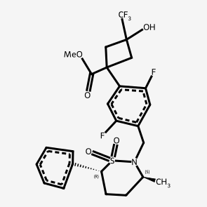 COC(=O)C1(c2cc(F)c(CN3[C@@H](C)CC[C@H](c4ccccc4)S3(=O)=O)cc2F)CC(O)(C(F)(F)F)C1